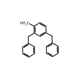 O=C(O)c1ccc(Cc2ccccc2)cc1Cc1ccccc1